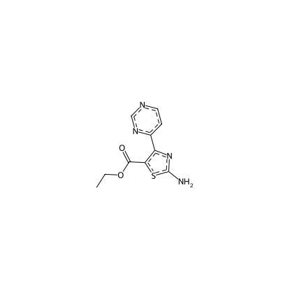 CCOC(=O)c1sc(N)nc1-c1ccncn1